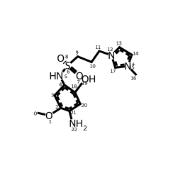 COc1cc(NS(=O)(=O)CCCn2cc[n+](C)c2)c(O)cc1N